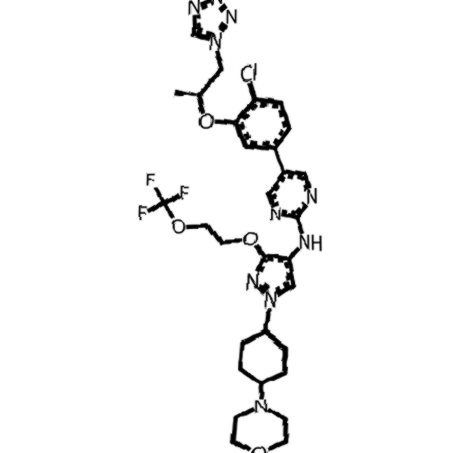 C[C@@H](Cn1cnnn1)Oc1cc(-c2cnc(Nc3cn(C4CCC(N5CCOCC5)CC4)nc3OCCOC(F)(F)F)nc2)ccc1Cl